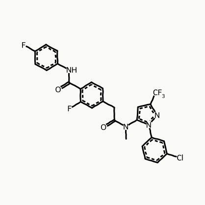 CN(C(=O)Cc1ccc(C(=O)Nc2ccc(F)cc2)c(F)c1)c1cc(C(F)(F)F)nn1-c1cccc(Cl)c1